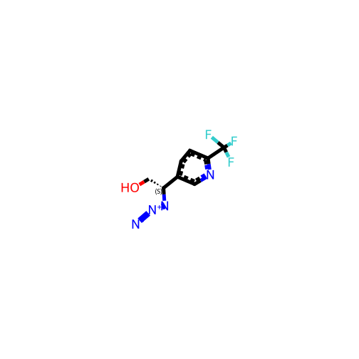 [N-]=[N+]=N[C@H](CO)c1ccc(C(F)(F)F)nc1